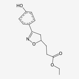 CCOC(=O)CCC1CC(c2ccc(O)cc2)=NO1